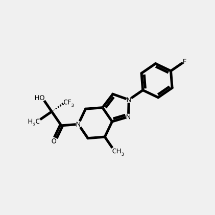 CC1CN(C(=O)[C@@](C)(O)C(F)(F)F)Cc2cn(-c3ccc(F)cc3)nc21